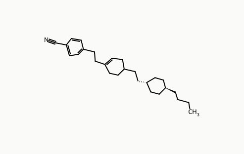 CCCC[C@H]1CC[C@H](CCC2CC=C(CCc3ccc(C#N)cc3)CC2)CC1